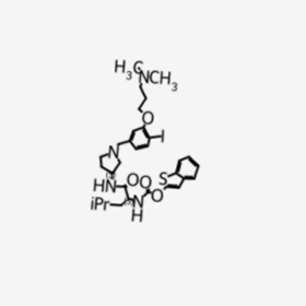 CC(C)C[C@H](NC(=O)Oc1cc2ccccc2s1)C(=O)N[C@H]1CCN(Cc2ccc(I)c(OCCCN(C)C)c2)C1